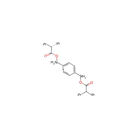 CC(C)C(C(=O)O[SiH2]c1ccc([SiH2]OC(=O)C(C(C)C)C(C)C)cc1)C(C)C